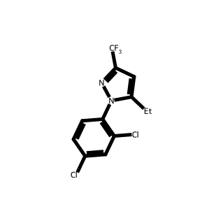 CCc1cc(C(F)(F)F)nn1-c1ccc(Cl)cc1Cl